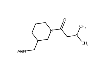 CNCC1CCCN(C(=O)CN(C)C)C1